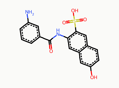 Nc1cccc(C(=O)Nc2cc3cc(O)ccc3cc2S(=O)(=O)O)c1